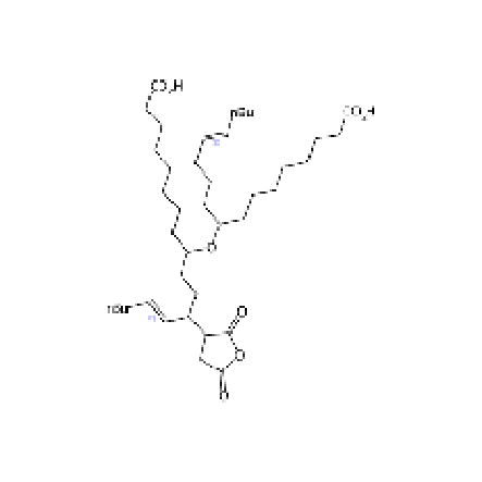 CCCC/C=C/CCCC(CCCCCCCC(=O)O)OC(CCCCCCCC(=O)O)CCC(/C=C/CCCC)C1CC(=O)OC1=O